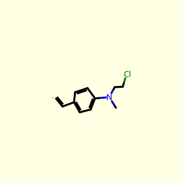 [CH]=Cc1ccc(N(C)CCCl)cc1